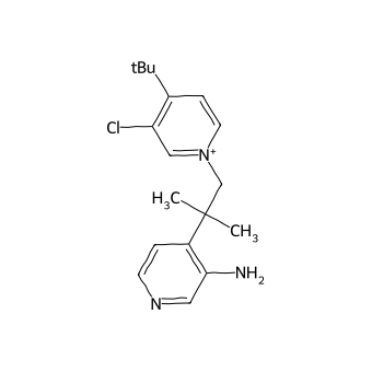 CC(C)(C)c1cc[n+](CC(C)(C)c2ccncc2N)cc1Cl